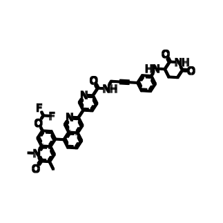 Cc1cc2c(-c3cccc4cc(-c5ccc(C(=O)NCC#Cc6cccc(NC7CCC(=O)NC7=O)c6)nc5)ncc34)cc(OC(F)F)cc2n(C)c1=O